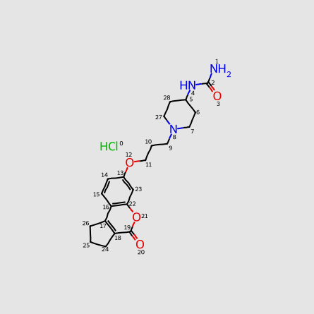 Cl.NC(=O)NC1CCN(CCCOc2ccc3c4c(c(=O)oc3c2)CCC4)CC1